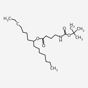 CCCCCCCC(CCCCCCC)OC(=O)CCCNC(=O)OC(C)(C)C